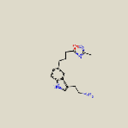 Cc1noc(CCCc2ccc3[nH]cc(CCN)c3c2)n1